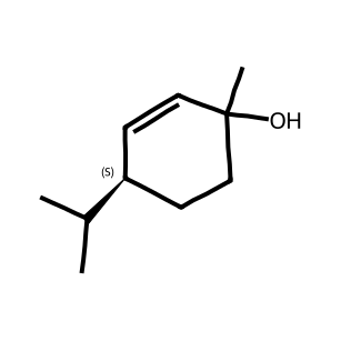 CC(C)[C@H]1C=CC(C)(O)CC1